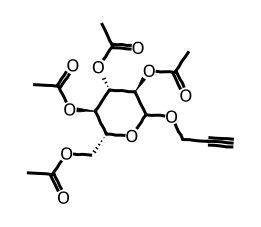 C#CCOC1O[C@H](COC(C)=O)[C@@H](OC(C)=O)[C@H](OC(C)=O)[C@H]1OC(C)=O